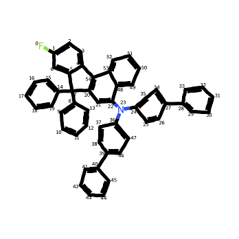 Fc1ccc2c(c1)C(c1ccccc1)(c1ccccc1)c1cc(N(c3ccc(-c4ccccc4)cc3)c3ccc(-c4ccccc4)cc3)c3ccccc3c1-2